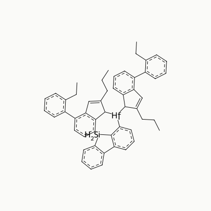 CCCC1=Cc2c(-c3ccccc3CC)cccc2[CH]1[Hf]([c]1cccc2c1[SiH2]c1ccccc1-2)[CH]1C(CCC)=Cc2c(-c3ccccc3CC)cccc21